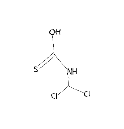 OC(=S)NC(Cl)Cl